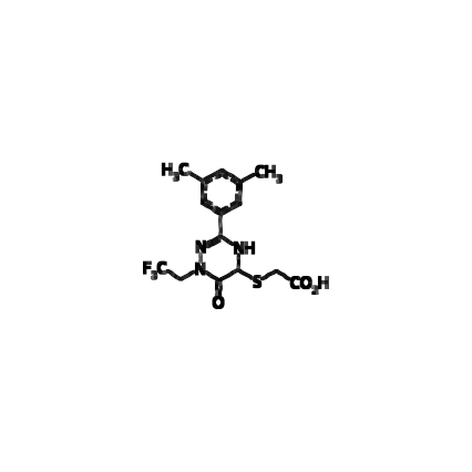 Cc1cc(C)cc(C2=NN(CC(F)(F)F)C(=O)C(SCC(=O)O)N2)c1